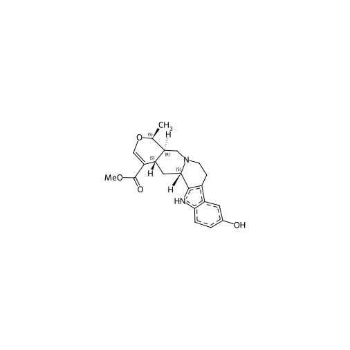 COC(=O)C1=CO[C@@H](C)[C@H]2CN3CCc4c([nH]c5ccc(O)cc45)[C@@H]3C[C@H]12